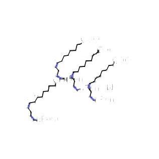 CCCCC/C=C\C/C=C\CCCCCCCC(=O)[O-].CCCCC/C=C\C/C=C\CCCCCCCC(=O)[O-].CCCCC/C=C\C/C=C\CCCCCCCC(=O)[O-].CCCCC/C=C\C/C=C\CCCCCCCC(=O)[O-].[Pb+4]